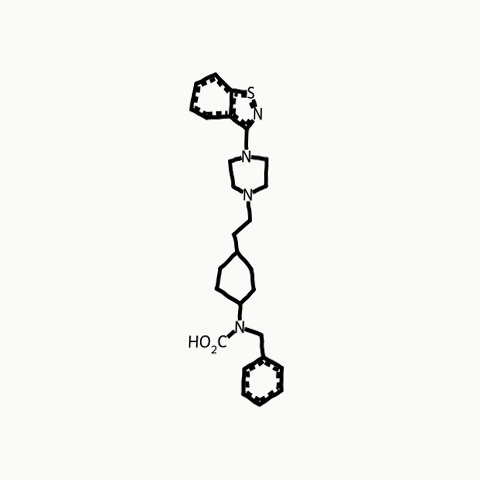 O=C(O)N(Cc1ccccc1)C1CCC(CCN2CCN(c3nsc4ccccc34)CC2)CC1